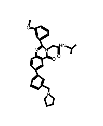 COc1cccc(-c2nc3ccc(-c4cccc(CN5CCCC5)c4)cc3c(=O)n2CC(=O)NC(C)C)c1